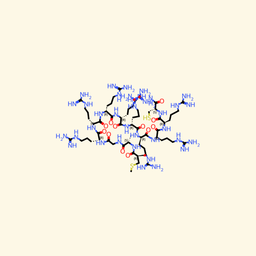 CSC[C@H](C)C(=O)N[C@@H](C)C(=O)NCC(=O)N[C@H](CCCNC(=N)N)C(=O)N[C@H](CCCNC(=N)N)C(=O)N[C@H](CCCNC(=N)N)C(=O)N[C@H](CCCNC(=N)N)C(=O)N[C@H](CCCNC(=N)N)C(=O)N[C@H](CCCNC(=N)N)C(=O)N[C@H](CCCNC(=N)N)C(=O)N[C@H](CCCNC(=N)N)C(=O)N[C@H](CS)C(N)=O